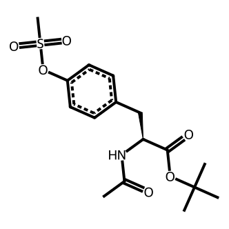 CC(=O)N[C@@H](Cc1ccc(OS(C)(=O)=O)cc1)C(=O)OC(C)(C)C